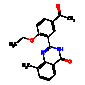 CCOc1ccc(C(C)=O)cc1-c1nc2c(C)cccc2c(=O)[nH]1